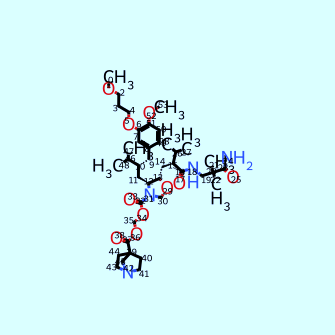 COCCCOc1cc(C[C@H](C[C@H]2[C@H](C[C@H](C(=O)NCC(C)(C)C(N)=O)C(C)C)OCN2C(=O)OCOC(=O)C23CCN(CC2)C3)C(C)C)ccc1OC